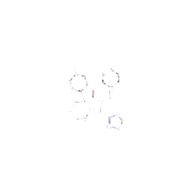 CC(c1ncc[nH]1)N(Cc1ccccc1)C(=O)C1(c2ccc(F)cc2)CCCCC1